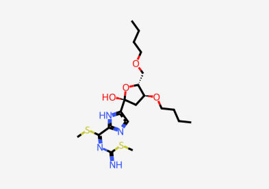 CCCCOC[C@H]1O[C@@](O)(c2cnc(/C(=N\C(=N)SC)SC)[nH]2)C[C@@H]1OCCCC